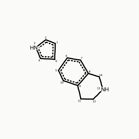 c1cc[nH]c1.c1ccc2c(c1)CCNC2